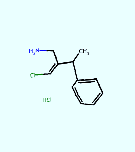 CC(C(=CCl)CN)c1ccccc1.Cl